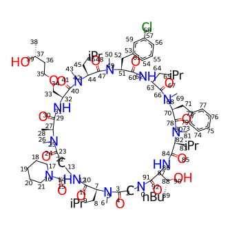 CCCCN1CC(=O)N(C)[C@@H](CC(C)C)C(=O)N[C@H](C(=O)N2CCCCC2)CC(=O)N(C)[C@@H](C)C(=O)N[C@@H](COCC[C@@H](C)O)C(=O)N(C)[C@@H](CC(C)C)C(=O)N(C)[C@@H](Cc2cccc(Cl)c2)C(=O)NC(CC(C)C)C(=O)N(C)[C@@H](Cc2ccccc2)C(=O)N(C)[C@@H](C(C)C)C(=O)NC([C@@H](C)O)C1=O